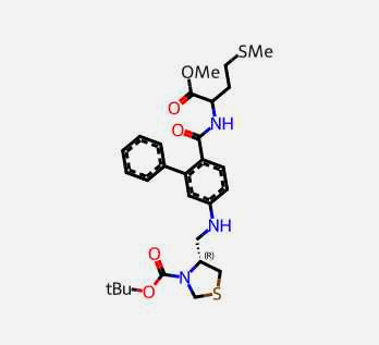 COC(=O)C(CCSC)NC(=O)c1ccc(NC[C@@H]2CSCN2C(=O)OC(C)(C)C)cc1-c1ccccc1